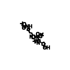 CC(C)(C)OC(=O)NC1CC(CCc2cc(N(C(=O)OC(C)(C)C)c3cc([C@H]4CC[C@@H](O)C4)nn3C(C)(C)C)ccn2)C1